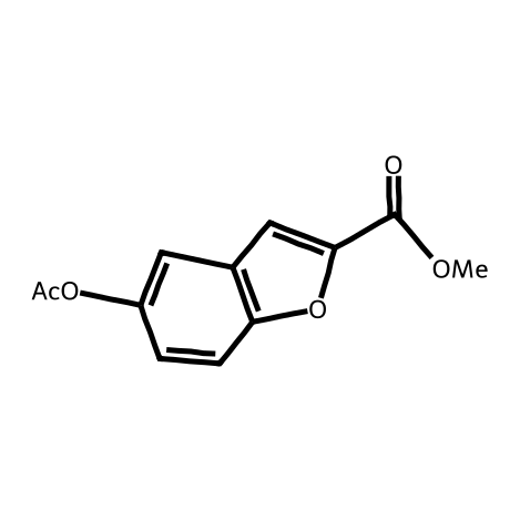 COC(=O)c1cc2cc(OC(C)=O)ccc2o1